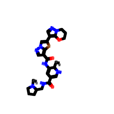 CC1NC=C(C(=O)NCC2CCCN2C)C=C1NC(=O)c1cnn2cc(-c3cnn4c3OCCC4)sc12